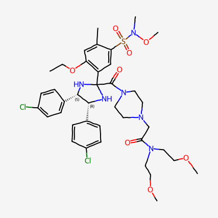 CCOc1cc(C)c(S(=O)(=O)N(C)OC)cc1C1(C(=O)N2CCN(CC(=O)N(CCOC)CCOC)CC2)N[C@H](c2ccc(Cl)cc2)[C@H](c2ccc(Cl)cc2)N1